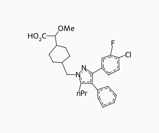 CCCc1c(-c2ccccc2)c(-c2ccc(Cl)c(F)c2)nn1CC1CCC(C(OC)C(=O)O)CC1